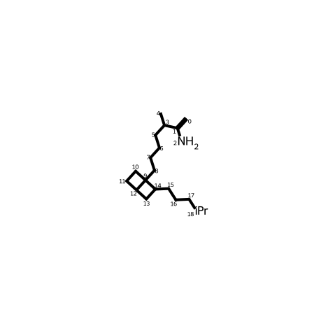 C=C(N)C(C)CCCCC12CCC1CC2CCCC(C)C